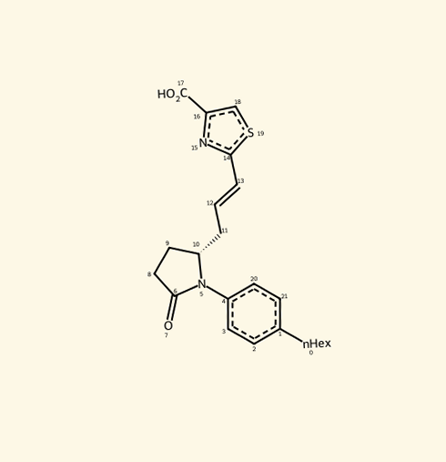 CCCCCCc1ccc(N2C(=O)CC[C@@H]2C/C=C/c2nc(C(=O)O)cs2)cc1